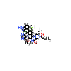 C=CC(=O)N1CC2C(=O)N(C)c3c(c4cc(F)c(-c5c(C)ccc6[nH]ncc56)c(Cl)c4n(-c4c(C(C)C)ncnc4C(C)C)c3=O)N2CC1C